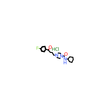 Cl.O=C(CCCN1CCN(C(=O)NC2CCCCC2)CC1)c1ccc(F)cc1